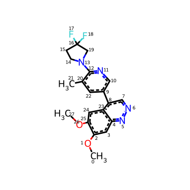 COc1cc2nncc(-c3cnc(N4CCC(F)(F)C4)c(C)c3)c2cc1OC